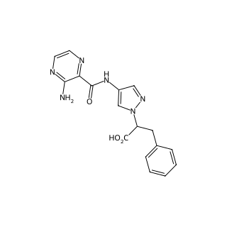 Nc1nccnc1C(=O)Nc1cnn(C(Cc2ccccc2)C(=O)O)c1